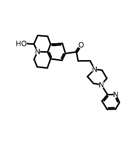 O=C(CCN1CCN(c2ccccn2)CC1)c1cc2c3c(c1)CCC(O)N3CCC2